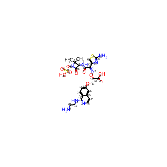 CC1(C)C(NC(=O)/C(=N\O[C@@H](COc2ccc3c(NCCN)nccc3c2)C(=O)O)c2csc(N)n2)C(=O)N1OS(=O)(=O)O